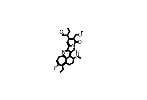 CCC1=C2CCC(NC)c3c4c(nc(c32)CC=C1F)-c1cc(C(C=O)CC)c(COC)c(=O)n1C4